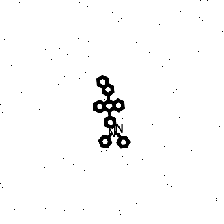 c1ccc(-c2nc3cc(-c4c5ccccc5c(-c5ccc6ccccc6c5)c5ccccc45)ccc3n2-c2ccccc2)cc1